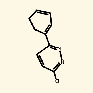 Clc1ccc(C2=CC=CCC2)nn1